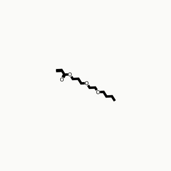 C=CC(=O)OCCCOCCOCCCC